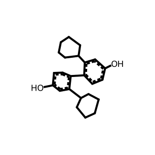 Oc1ccc(-c2ccc(O)cc2C2CCCCC2)c(C2CCCCC2)c1